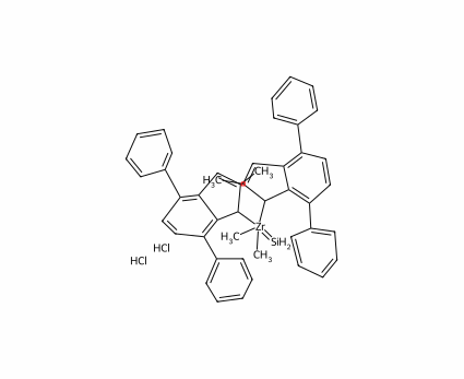 CC1=Cc2c(-c3ccccc3)ccc(-c3ccccc3)c2[CH]1[Zr]([CH3])([CH3])(=[SiH2])[CH]1C(C)=Cc2c(-c3ccccc3)ccc(-c3ccccc3)c21.Cl.Cl